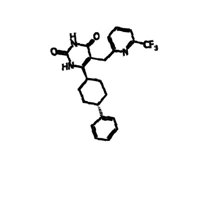 O=c1[nH]c(=O)c(Cc2cccc(C(F)(F)F)n2)c([C@H]2CC[C@H](c3ccccc3)CC2)[nH]1